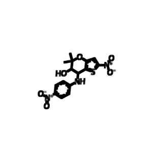 CC1(C)Oc2cc([N+](=O)[O-])sc2C(Nc2ccc([N+](=O)[O-])cc2)C1O